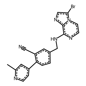 Cc1cc(-c2ccc(CNc3nccn4c(Br)cnc34)cc2C#N)ccn1